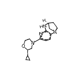 c1cc2c(nc1N1CCOC(C3CC3)C1)N[C@H]1CCN2C1